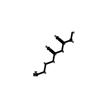 COC(=O)CC(=O)CCCS